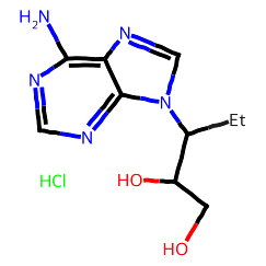 CCC(C(O)CO)n1cnc2c(N)ncnc21.Cl